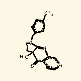 Cc1ccc(N2CCC3(C)C(=O)c4ccncc4N=C23)cc1